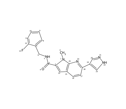 Cn1c(C(=O)NCc2ccccc2F)cc2ccc(-c3cn[nH]c3)nc21